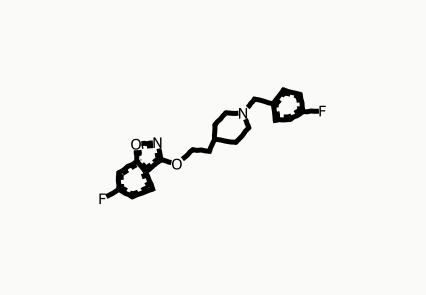 Fc1ccc(CN2CCC(CCOc3noc4cc(F)ccc34)CC2)cc1